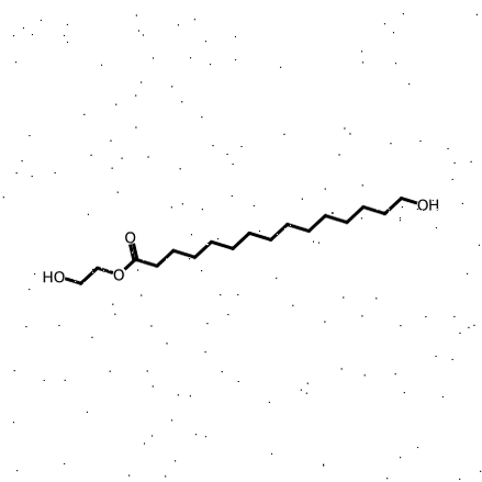 O=C(CCCCCCCCCCCCCCO)OCCO